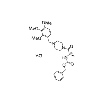 COc1ccc(CN2CCN(C(=O)[C@@H](C)NC(=O)OCc3ccccc3)CC2)c(OC)c1OC.Cl